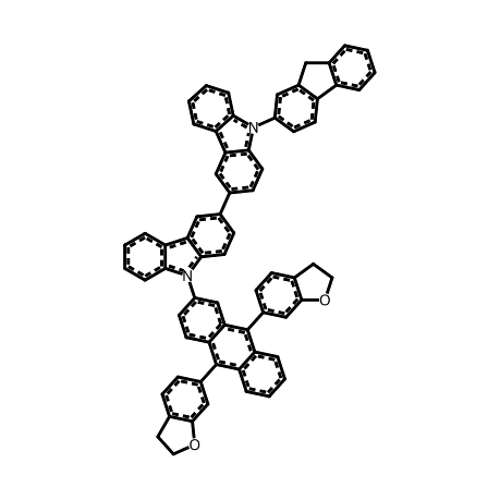 c1ccc2c(c1)Cc1cc(-n3c4ccccc4c4cc(-c5ccc6c(c5)c5ccccc5n6-c5ccc6c(-c7ccc8c(c7)OCC8)c7ccccc7c(-c7ccc8c(c7)OCC8)c6c5)ccc43)ccc1-2